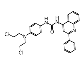 O=C(Nc1ccc(N(CCCl)CCCl)cc1)Nc1cc(-c2ccccc2)nc2ccccc12